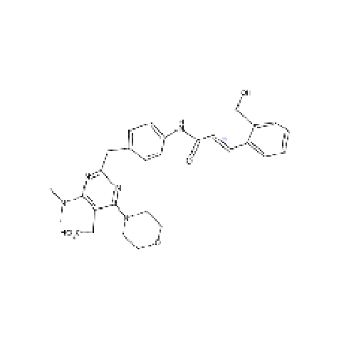 CN(C)c1nc(Cc2ccc(NC(=O)/C=C/c3ccccc3CO)cc2)nc(N2CCOCC2)c1CC(=O)O